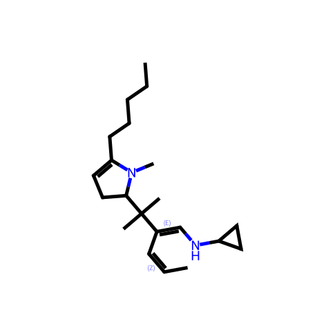 C/C=C\C(=C/NC1CC1)C(C)(C)C1CC=C(CCCCC)N1C